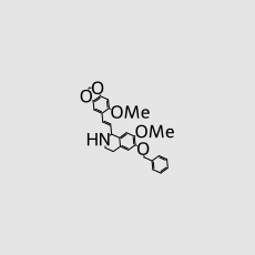 COc1cc2c(cc1/C=C/C1NCCc3cc(OCc4ccccc4)c(OC)cc31)OCO2